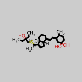 C=C1CCC(O)(O)CC1=CC=C1CCC[C@]2(C)C([C@H](C)SCC(O)(CC)CC)=CC[C@@H]12